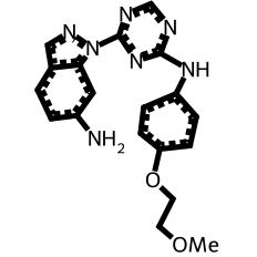 COCCOc1ccc(Nc2ncnc(-n3ncc4ccc(N)cc43)n2)cc1